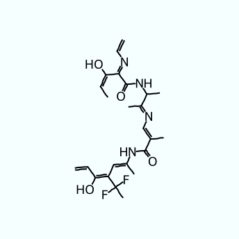 C=C/N=C(C(=O)NC(C)/C(C)=N/C=C(\C)C(=O)N/C(C)=C/C(=C(/O)C=C)C(C)(F)F)\C(O)=C/C